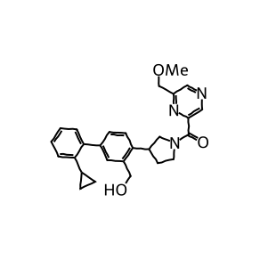 COCc1cncc(C(=O)N2CCC(c3ccc(-c4ccccc4C4CC4)cc3CO)C2)n1